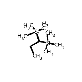 CC[C]([Si](C)(C)C)[Si](C)(C)C